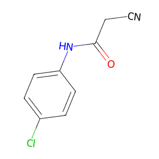 N#CCC(=O)Nc1ccc(Cl)cc1